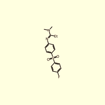 CC/C(=N\c1ccc(S(=O)(=O)c2ccc(F)cc2)cc1)N(C)C